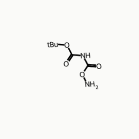 CC(C)(C)OC(=O)NC(=O)ON